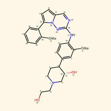 COc1cc(C2CCN(CCO)C[C@H]2O)ccc1Nc1ncc2ccc(-c3ccccc3OC)n2n1